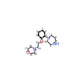 c1ccc(N2CCCNCC2)c(OCCN2CCOCC2)c1